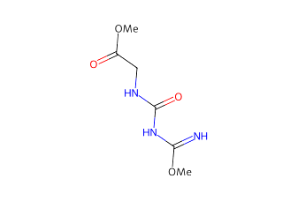 COC(=N)NC(=O)NCC(=O)OC